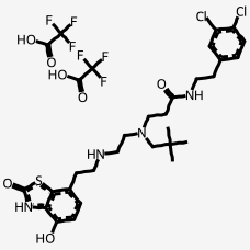 CC(C)(C)CN(CCNCCc1ccc(O)c2[nH]c(=O)sc12)CCC(=O)NCCc1ccc(Cl)c(Cl)c1.O=C(O)C(F)(F)F.O=C(O)C(F)(F)F